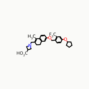 CC1=C(CN2CC(C(=O)O)C2)CCc2cc(OCc3ccc(OC4CCCC4)cc3C(F)(F)F)ccc21